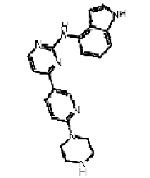 c1cc(Nc2nccc(-c3ccc(N4CCNCC4)nc3)n2)c2cc[nH]c2c1